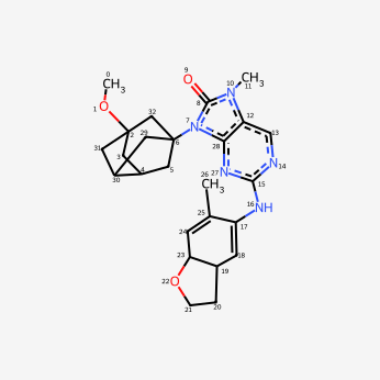 COC12CC3CC(n4c(=O)n(C)c5cnc(NC6=CC7CCOC7C=C6C)nc54)(CC3C1)C2